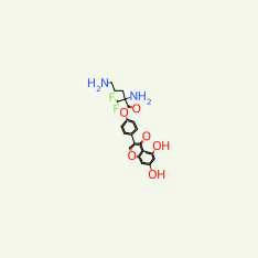 NCCCC(N)(C(=O)Oc1ccc(-c2coc3cc(O)cc(O)c3c2=O)cc1)C(F)F